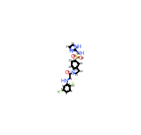 O=C(CNc1cc(F)ccc1F)N1CCc2cc(S(=O)(=O)Nc3ncc[nH]3)ccc21